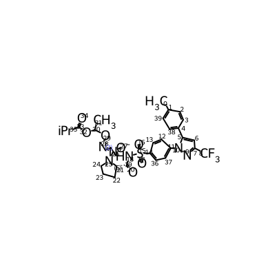 Cc1ccc(-c2cc(C(F)(F)F)nn2-c2ccc(S(=O)(=O)NC(=O)[C@@H]3CCCN3/[N+]([O-])=N/OC(C)OC(=O)C(C)C)cc2)cc1